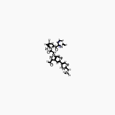 C=C/N=C(\C=C/C)C(=O)[C@@H]1C[C@@]2(C)C[C@H]2N1C(=O)Cn1nc(C(C)=O)c2cc(-c3cnc(CN(C)C)nc3)ncc21